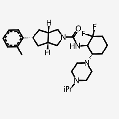 Cc1ccccc1[C@@H]1C[C@@H]2CN(C(=O)N[C@@H]3[C@@H](N4CCN(C(C)C)CC4)CCCC3(F)F)C[C@@H]2C1